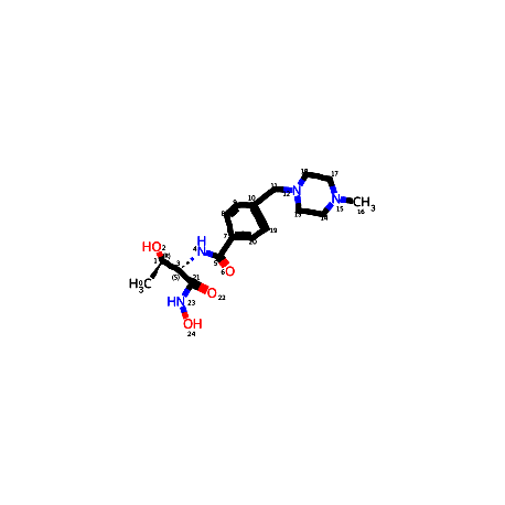 C[C@@H](O)[C@H](NC(=O)c1ccc(CN2CCN(C)CC2)cc1)C(=O)NO